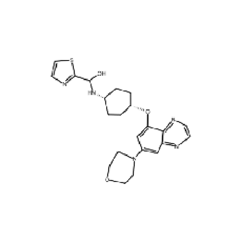 OC(N[C@H]1CC[C@@H](Oc2cc(N3CCOCC3)cc3nccnc23)CC1)c1nccs1